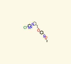 C=CCON=Cc1ccc(OCCCC2CCCN(c3ccc(Cl)nn3)C2)cc1